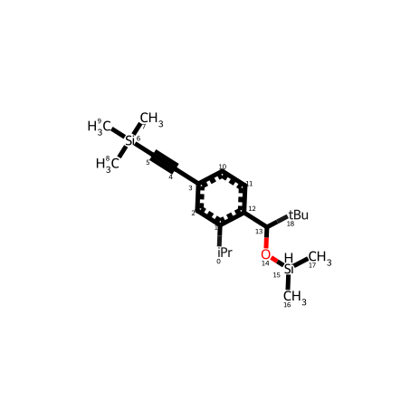 CC(C)c1cc(C#C[Si](C)(C)C)ccc1C(O[SiH](C)C)C(C)(C)C